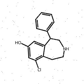 Oc1cc(Cl)c2c(c1)C(c1ccccc1)CNCC2